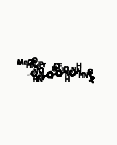 COC(=O)N[C@H](C(=O)N1C[C@@H](C)C[C@H]1c1nc(-c2ccc(-c3ccc(C(=O)Nc4ccc(NCCNC(=O)C5CC5(C)C)nc4)cc3OC(F)(F)F)cc2)c[nH]1)C(C)C